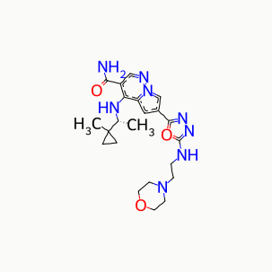 C[C@@H](Nc1c(C(N)=O)cnn2cc(-c3nnc(NCCN4CCOCC4)o3)cc12)C1(C)CC1